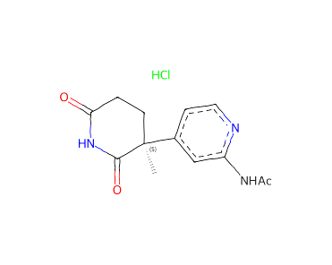 CC(=O)Nc1cc([C@]2(C)CCC(=O)NC2=O)ccn1.Cl